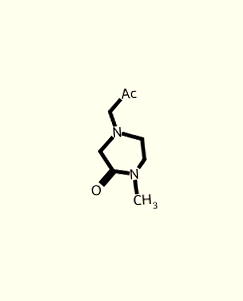 CC(=O)CN1CCN(C)C(=O)C1